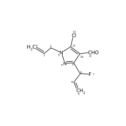 C=CCn1nc(C(F)C=C)c(C=O)c1Cl